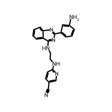 N#Cc1ccc(NCCNc2nc(-c3cccc(N)c3)nc3ccccc23)nc1